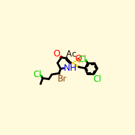 CC(=O)C1=C([S+]([O-])Cc2cc(Cl)ccc2Cl)NC(C(Br)CCC(C)Cl)CC1=O